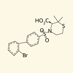 CC1(C)SCCN(S(=O)(=O)c2ccc(-c3ccccc3Br)cc2)[C@H]1C(=O)O